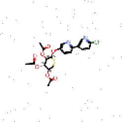 CC(=O)O[C@@H]1[C@@H](OC(C)=O)[C@@H](Oc2ccc(-c3ccc(Cl)nc3)nc2)SC[C@H]1OC(C)=O